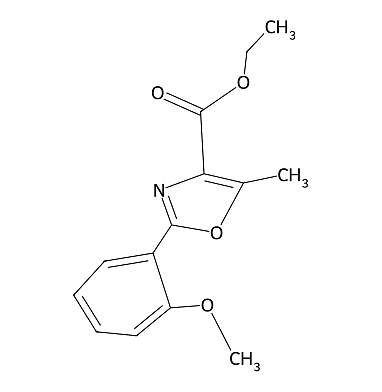 CCOC(=O)c1nc(-c2ccccc2OC)oc1C